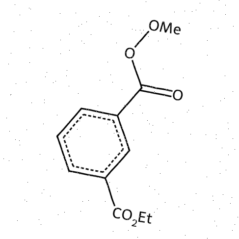 CCOC(=O)c1cccc(C(=O)OOC)c1